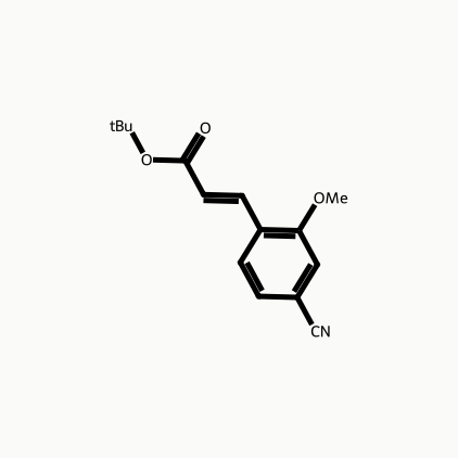 COc1cc(C#N)ccc1/C=C/C(=O)OC(C)(C)C